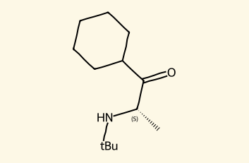 C[C@H](NC(C)(C)C)C(=O)C1CCCCC1